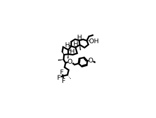 CC[C@@]1(O)CC[C@@]2(C)[C@H](CC[C@@H]3[C@@H]2CC[C@]2(C)[C@@H]([C@H](C)C(CC[C@H](C)C(F)(F)F)OCc4ccc(OC)cc4)CC[C@@H]32)C1